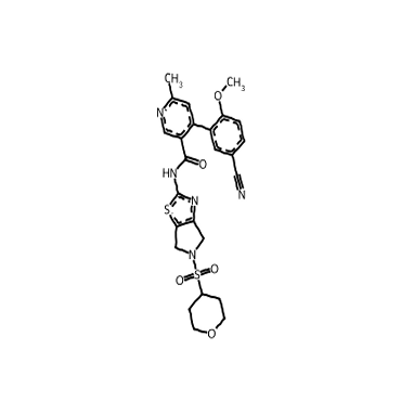 COc1ccc(C#N)cc1-c1cc(C)ncc1C(=O)Nc1nc2c(s1)CN(S(=O)(=O)C1CCOCC1)C2